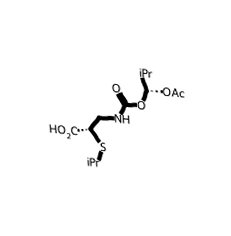 CC(=O)O[C@H](OC(=O)NC[C@H](SC(C)C)C(=O)O)C(C)C